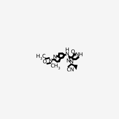 CC1CN(c2ccc3cc(Nc4nn(C(CC#N)C5CC5)c5cc[nH]c(=O)c45)ccc3n2)C(C)CO1